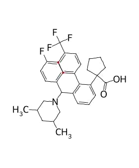 CC1CC(C)CN(C(c2ccc(F)cc2)c2cccc(C3(C(=O)O)CCCC3)c2-c2ccc(C(F)(F)F)cc2)C1